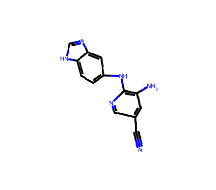 N#Cc1cnc(Nc2ccc3[nH]cnc3c2)c(N)c1